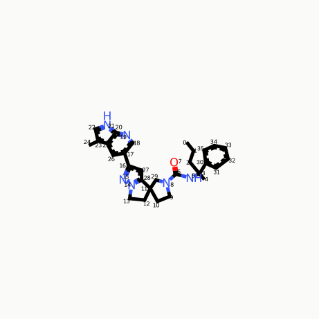 CCCC(C)(NC(=O)N1CCC2(CCn3nc(-c4cnc5[nH]cc(C)c5c4)cc32)C1)c1ccccc1